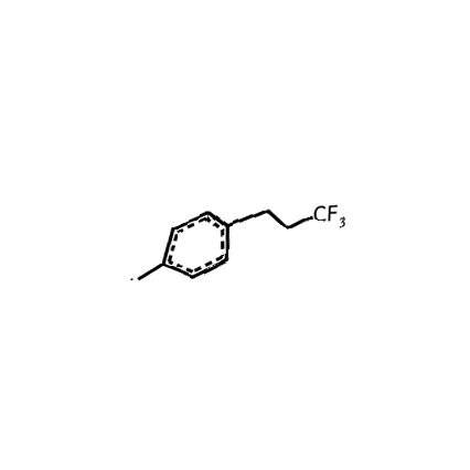 [CH2]c1ccc(CCC(F)(F)F)cc1